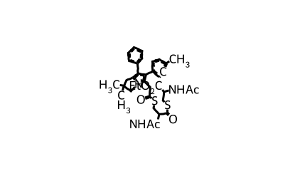 CCOC(=O)C(CSC(=O)C(CSC(=O)Cc1c(-c2ccc(C)cc2)c(-c2ccccc2)c2n1CC(C)(C)C2)NC(C)=O)NC(C)=O